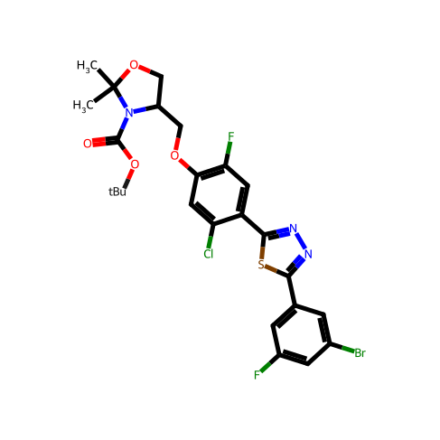 CC(C)(C)OC(=O)N1C(COc2cc(Cl)c(-c3nnc(-c4cc(F)cc(Br)c4)s3)cc2F)COC1(C)C